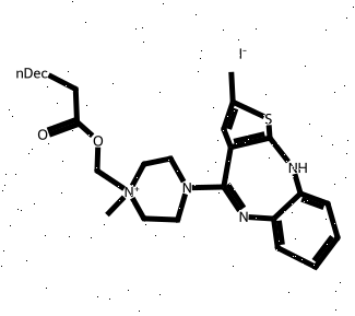 CCCCCCCCCCCC(=O)OC[N+]1(C)CCN(C2=Nc3ccccc3Nc3sc(C)cc32)CC1.[I-]